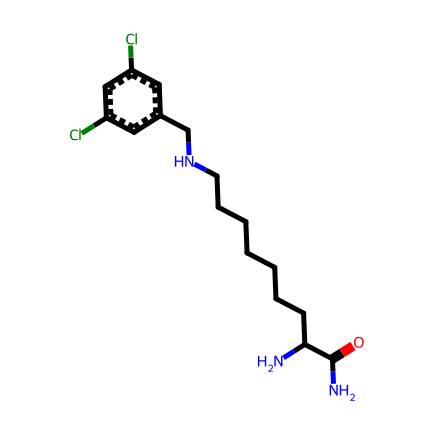 NC(=O)C(N)CCCCCCCNCc1cc(Cl)cc(Cl)c1